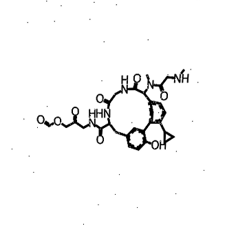 CNCC(=O)N(C)C1C(=O)NCC(=O)NC(C(=O)NCC(=O)COC=O)Cc2ccc(O)c(c2)-c2cc1ccc2C1CC1